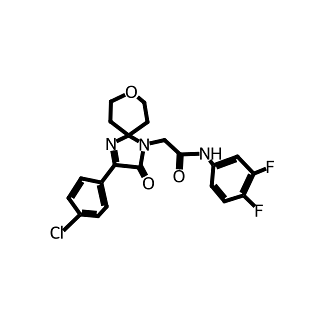 O=C(CN1C(=O)C(c2ccc(Cl)cc2)=NC12CCOCC2)Nc1ccc(F)c(F)c1